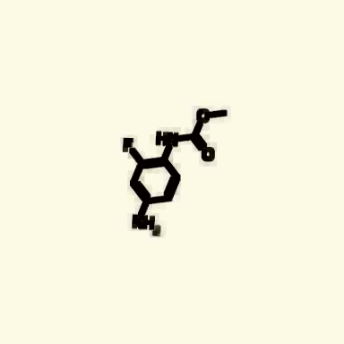 COC(=O)Nc1ccc(N)cc1F